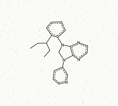 CCC(CC)c1ccccc1N1CN(c2cccnc2)c2nccnc21